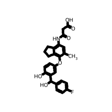 Cc1cc(NC(=O)CC(=O)O)c2c(c1Oc1ccc(O)c(C(O)c3ccc(F)cc3)c1)CCC2